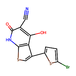 N#Cc1c(O)c2c(-c3ccc(Br)s3)csc2[nH]c1=O